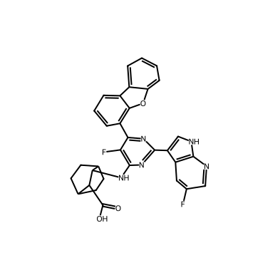 O=C(O)C1C2CCC(CC2)C1Nc1nc(-c2c[nH]c3ncc(F)cc23)nc(-c2cccc3c2oc2ccccc23)c1F